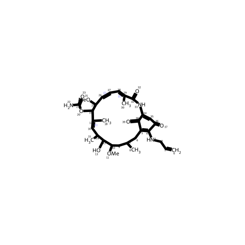 C=CCNC1=C2CC(C)CC(OC)C(O)C(C)/C=C(\C)C(OC(N)=O)C(OC)/C=C\C=C(/C)C(=O)NC(=CC1=O)C2=O